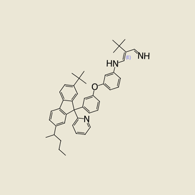 CCCC(C)c1ccc2c(c1)C(c1cccc(Oc3cccc(N/C=C(/C=N)C(C)(C)C)c3)c1)(c1ccccn1)c1cc(C(C)(C)C)ccc1-2